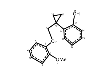 COc1ccccc1OCC1(c2ccccc2O)CC1